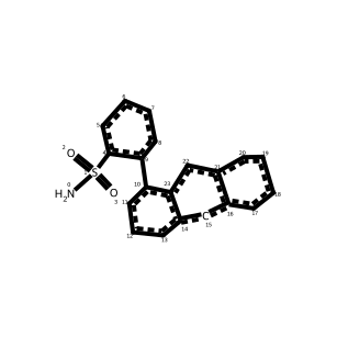 NS(=O)(=O)c1ccccc1-c1cccc2cc3ccccc3cc12